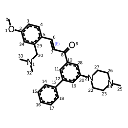 COc1ccc(/C=C/C(=O)c2cc(-c3ccccc3)cc(N3CCN(C)CC3)c2)c(CN(C)C)c1